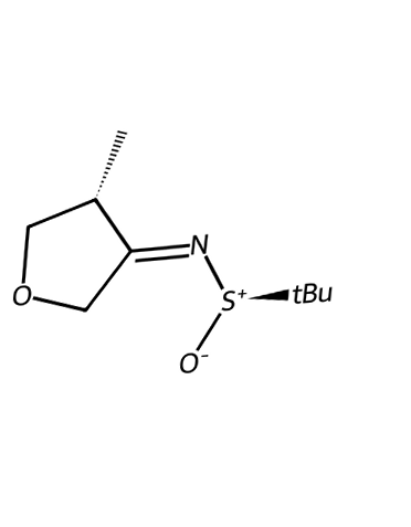 C[C@H]1COC/C1=N\[S@+]([O-])C(C)(C)C